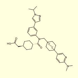 CC(C)n1cc(-c2cccc(N(CC34CCC(c5ccc(N(C)C)nc5)(CC3)CC4)C(=O)[C@H]3CC[C@H](CC(=O)O)CC3)c2)cn1